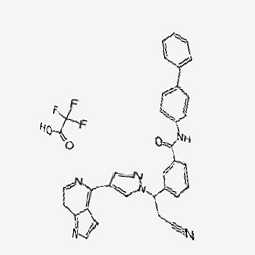 N#CCC(c1cccc(C(=O)Nc2ccc(-c3ccccc3)cc2)c1)n1cc(C2=C3C=CN=C3CC=N2)cn1.O=C(O)C(F)(F)F